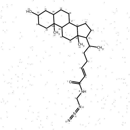 CC(CC/C=C/C(=O)NCN=[N+]=[N-])C1CCC2C3CCC4CC(O)CCC4(C)C3CCC12C